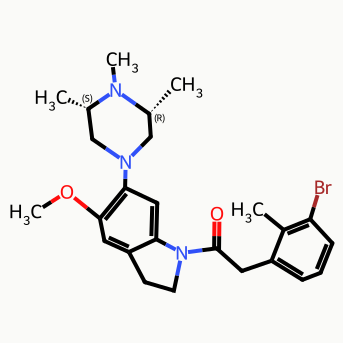 COc1cc2c(cc1N1C[C@@H](C)N(C)[C@@H](C)C1)N(C(=O)Cc1cccc(Br)c1C)CC2